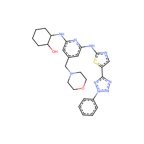 OC1CCCCC1Nc1cc(CN2CCOCC2)cc(Nc2ncc(-c3nnn(-c4ccccc4)n3)s2)n1